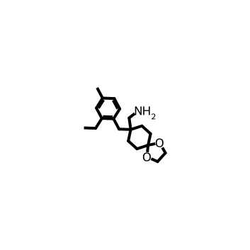 CCc1cc(C)ccc1CC1(CN)CCC2(CC1)OCCO2